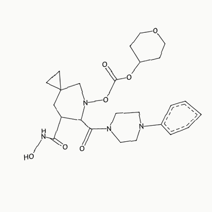 O=C(OC1CCOCC1)ON1CC2(CC2)CC(C(=O)NO)C1C(=O)N1CCN(c2ccccc2)CC1